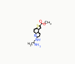 COC(=O)c1cc2c(ccc3nc(NC[C@@H](C)N)ccc32)s1